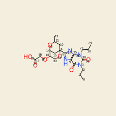 CCCn1c(=O)c2[nH]c(C34CC(C)OC(C3)C(OCC(=O)O)CO4)nc2n(CCC)c1=O